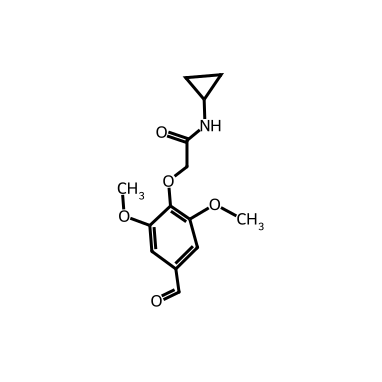 COc1cc(C=O)cc(OC)c1OCC(=O)NC1CC1